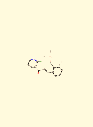 CCOC(=O)C(=Cc1cccc(C(C)(C)C)c1CO[SiH](C)C)C(=O)c1cccnc1Cl